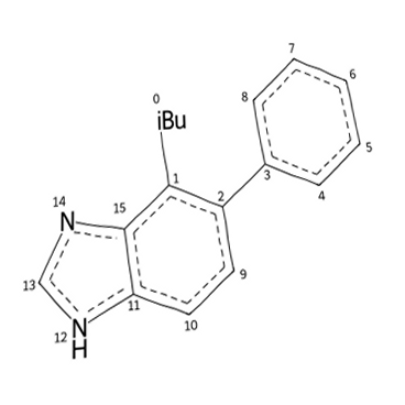 CCC(C)c1c(-c2ccccc2)ccc2[nH]cnc12